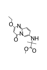 CCOc1cc(=O)n2cc(NC(C)(C)C(=O)OC)ccc2n1